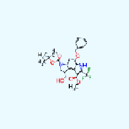 COC(=O)c1c(C(F)(F)F)[nH]c2c(OCc3ccccc3)cc3c(c12)C(CO)CN3C(=O)OC(C)(C)C